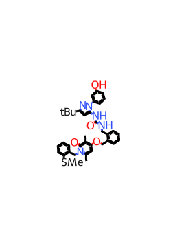 CSc1ccccc1Cn1c(C)cc(OCc2ccccc2CNC(=O)Nc2cc(C(C)(C)C)nn2-c2cccc(O)c2)c(C)c1=O